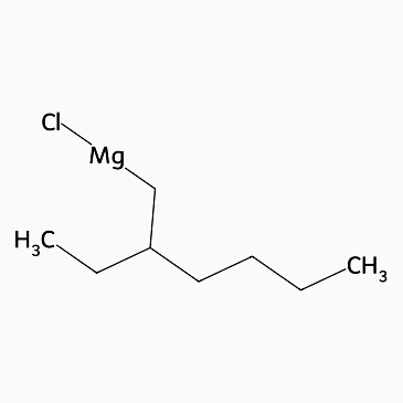 CCCCC(CC)[CH2][Mg][Cl]